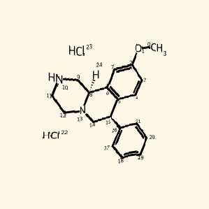 COc1ccc2c(c1)[C@@H]1CNCCN1C[C@@H]2c1ccccc1.Cl.Cl